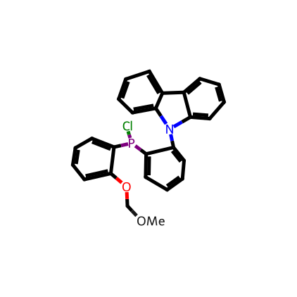 COCOc1ccccc1P(Cl)c1ccccc1-n1c2ccccc2c2ccccc21